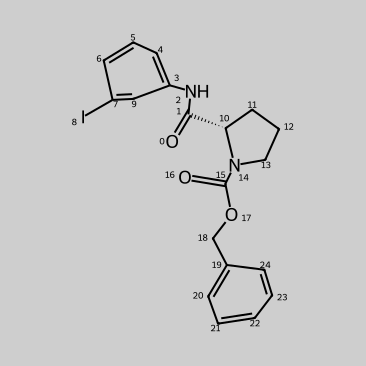 O=C(Nc1cccc(I)c1)[C@@H]1CCCN1C(=O)OCc1ccccc1